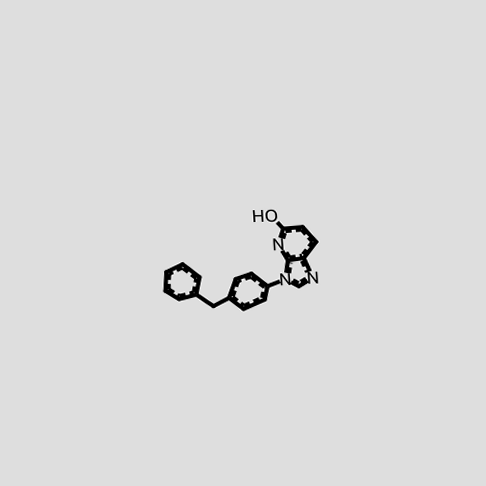 Oc1ccc2ncn(-c3ccc(Cc4ccccc4)cc3)c2n1